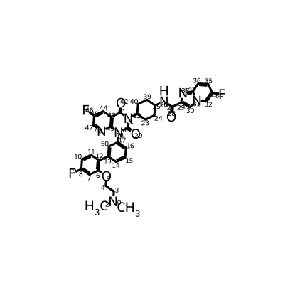 CN(C)CCOc1cc(F)ccc1-c1cccc(-n2c(=O)n(C3CCC(NC(=O)c4cn5cc(F)ccc5n4)CC3)c(=O)c3cc(F)cnc32)c1